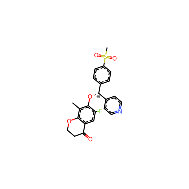 Cc1c(O[C@@H](c2ccncc2)c2ccc(S(C)(=O)=O)cc2)c(F)cc2c1OCCC2=O